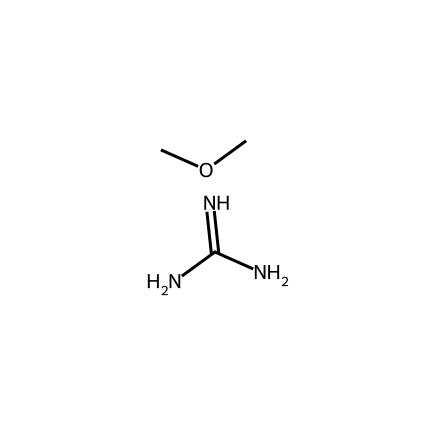 COC.N=C(N)N